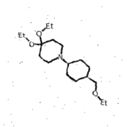 CCOC[C@H]1CC[C@@H](N2CCC(OCC)(OCC)CC2)CC1